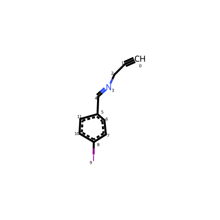 C#CCN=Cc1ccc(I)cc1